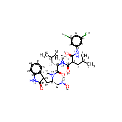 CC(C)CC(C(=O)Nc1cc(F)cc(F)c1)C(=O)N(C)[C@@H](CC(C)C)C(=O)N1C[C@]2(C[C@H]1CN=O)C(=O)Nc1ccccc12